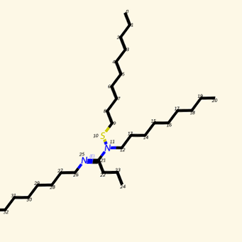 CCCCCCCCCCSN(CCCCCCCCC)/C(CCC)=N/CCCCCCCCC